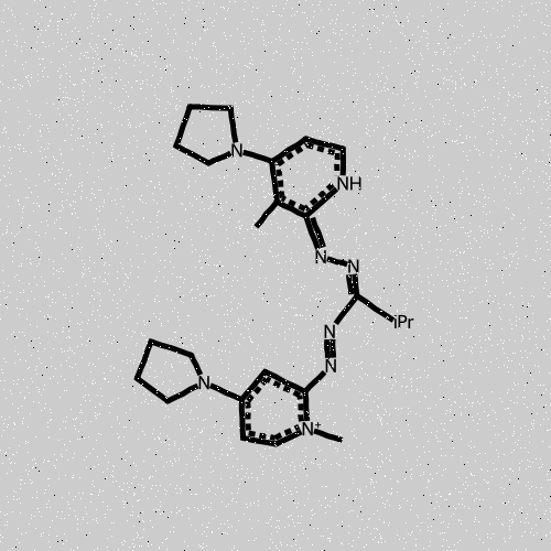 Cc1c(N2CCCC2)cc[nH]c1=NN=C(N=Nc1cc(N2CCCC2)cc[n+]1C)C(C)C